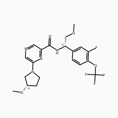 COC[C@@H](NC(=O)c1cncc(N2CC[C@H](OC)C2)n1)c1ccc(OC(F)(F)F)c(F)c1